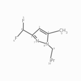 Cc1cc(C(F)F)nn1CC(C)C